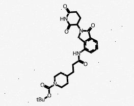 CC(C)(C)OC(=O)N1CCC(CCC(=O)Nc2cccc3c2CN(C2CCC(=O)NC2=O)C3=O)CC1